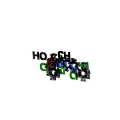 CC(c1ccc2nc(-c3c(Cl)cccc3Cl)ccc2c1)[C@H](NC(=O)c1c(Cl)cccc1Cl)C(=O)O